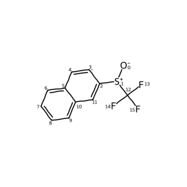 [O-][S+](c1[c]cc2ccccc2c1)C(F)(F)F